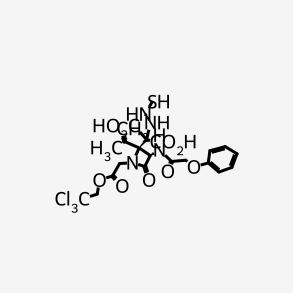 C=C(C)[C@]1(C(NNS)(C(=O)O)C(=O)O)[C@@H](NC(=O)COc2ccccc2)C(=O)N1CC(=O)OCC(Cl)(Cl)Cl